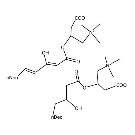 CCCCCCCCCC=CC(O)=CC(=O)OC(CC(=O)[O-])C[N+](C)(C)C.CCCCCCCCCCCC(O)CC(=O)OC(CC(=O)[O-])C[N+](C)(C)C